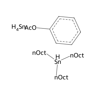 CC(=O)Oc1ccccc1.CCCCCCC[CH2][SnH]([CH2]CCCCCCC)[CH2]CCCCCCC.[SnH4]